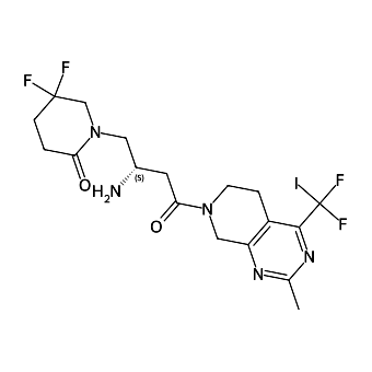 Cc1nc2c(c(C(F)(F)I)n1)CCN(C(=O)C[C@H](N)CN1CC(F)(F)CCC1=O)C2